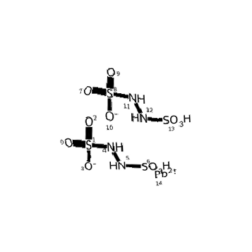 O=S(=O)([O-])NNS(=O)(=O)O.O=S(=O)([O-])NNS(=O)(=O)O.[Pb+2]